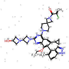 C=C(F)C(=O)N1CC2(CCN(c3nc(N4CC(N5CC(O)C5)C4)nc4c(OCC(F)(F)F)c(-c5c(C)ccc6[nH]ncc56)c(C5CC5)cc34)CC2)C1